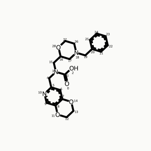 O=C(O)N(Cc1cc2c(cn1)OCCO2)CC1CN(Cc2ccccc2)CCO1